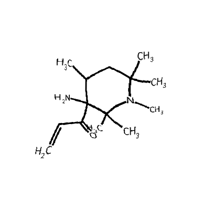 C=CC(=O)C1(N)C(C)CC(C)(C)N(C)C1(C)C